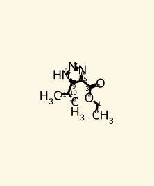 CCOC(=O)c1nn[nH]c1C(C)C